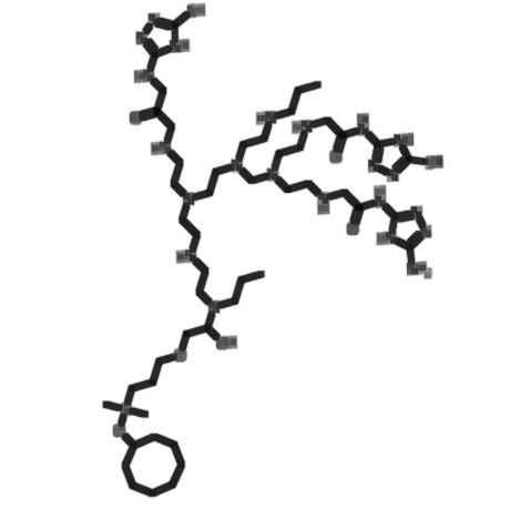 CCCNCCN(CCN(CCNCCN(CCC)C(O)COCCC[Si](C)(C)OC1CCCCCCC1)CCNCC(=O)CNc1nnc(S)[nH]1)CN(CCNCC(=O)Nc1nnc(N)[nH]1)CCNCC(=O)Nc1nnc(S)[nH]1